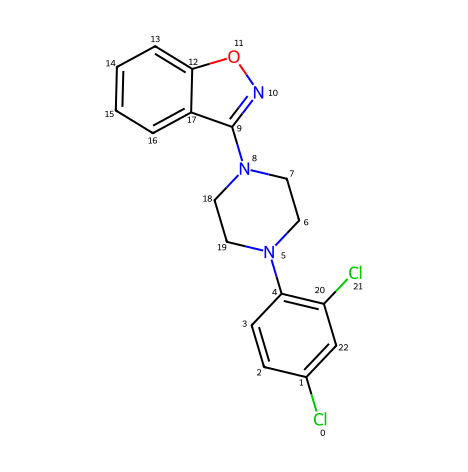 Clc1ccc(N2CCN(c3noc4ccccc34)CC2)c(Cl)c1